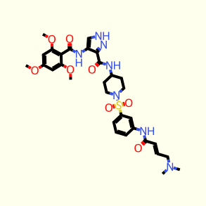 COc1cc(OC)c(C(=O)Nc2c[nH]nc2C(=O)NC2CCN(S(=O)(=O)c3cccc(NC(=O)C=CCN(C)C)c3)CC2)c(OC)c1